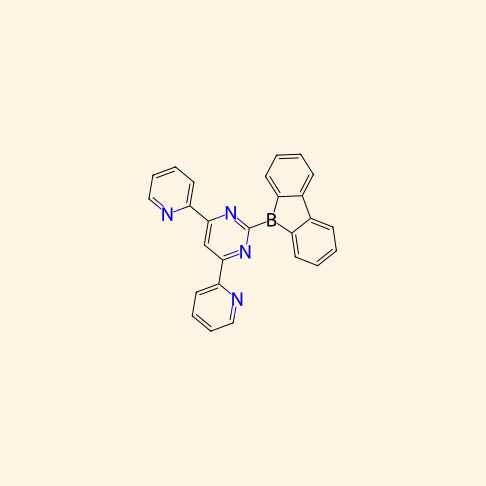 c1ccc(-c2cc(-c3ccccn3)nc(B3c4ccccc4-c4ccccc43)n2)nc1